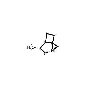 C[C@H]1C[N@@]2CC23CCC13